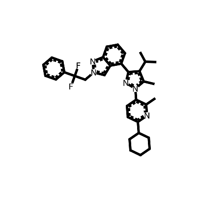 Cc1nc(C2CCCCC2)ccc1-n1nc(-c2cccc3nn(CC(F)(F)c4ccccc4)cc23)c(C(C)C)c1C